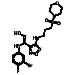 O=S(=O)(CCCNc1nonc1/C(=N/O)Nc1ccc(F)c(Br)c1)N1CCOCC1